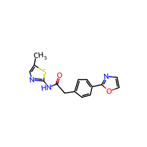 Cc1cnc(NC(=O)Cc2ccc(-c3ncco3)cc2)s1